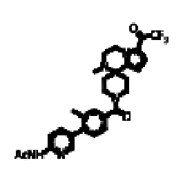 CC(=O)Nc1ccc(-c2ccc(C(=O)N3CCC4(CC3)c3ccc(C(=O)C(F)(F)F)n3CCN4C)cc2C)cn1